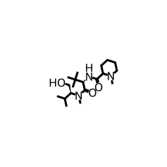 CC(C)[C@@H](CO)N(C)C(=O)[C@@H](NC(=O)C1CCCCN1C)C(C)(C)C